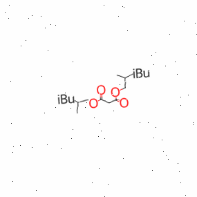 CCC(C)C(C)COC(=O)CC(=O)OCC(C)C(C)CC